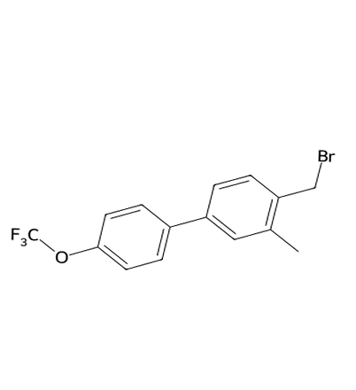 Cc1cc(-c2ccc(OC(F)(F)F)cc2)ccc1CBr